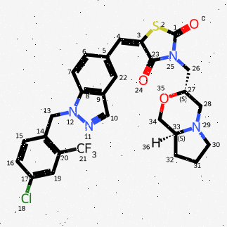 O=C1SC(=Cc2ccc3c(cnn3Cc3ccc(Cl)cc3C(F)(F)F)c2)C(=O)N1C[C@@H]1CN2CCC[C@H]2CO1